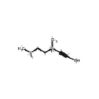 C[SiH2]CC[SiH](C)C#CC(C)(C)C